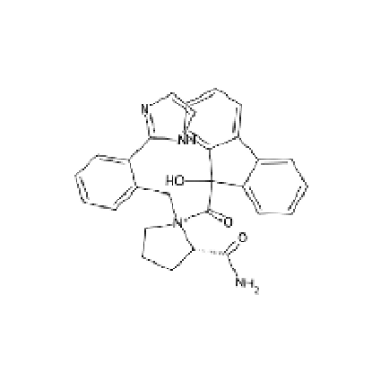 NC(=O)[C@@H]1CCC[N+]1(Cc1ccccc1-c1ncc[nH]1)C(=O)C1(O)c2ccccc2-c2ccccc21